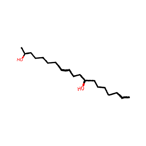 CCCCCCCC(O)CCCCCCCCCC(C)O